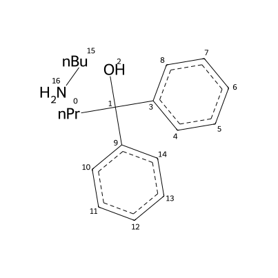 CCCC(O)(c1ccccc1)c1ccccc1.CCCCN